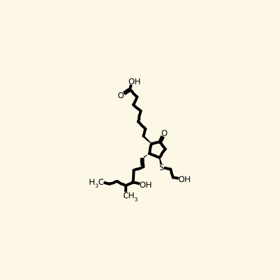 CCCC(C)C(O)CC=C[C@H]1[C@H](SCCO)CC(=O)[C@@H]1CCCCCCC(=O)O